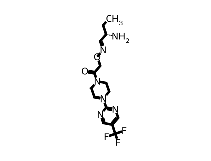 CC[C@H](N)/C=N/OCC(=O)N1CCN(c2ncc(C(F)(F)F)cn2)CC1